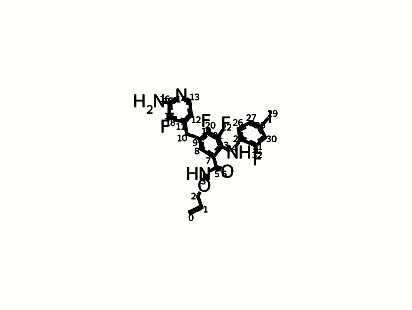 C=CCONC(=O)c1cc(Cc2ccnc(N)c2F)c(F)c(F)c1Nc1ccc(I)cc1F